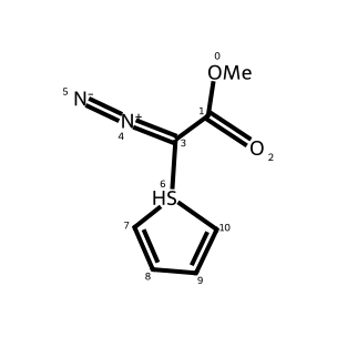 COC(=O)C(=[N+]=[N-])[SH]1C=CC=C1